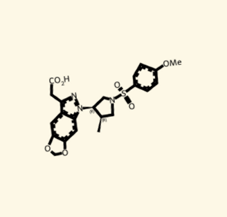 COc1ccc(S(=O)(=O)N2C[C@@H](C)[C@@H](n3nc(CC(=O)O)c4cc5c(cc43)OCO5)C2)cc1